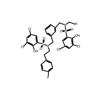 CC(C)CN(Cc1cccc(CN(CCc2ccc(F)cc2)S(=O)(=O)c2cc(Cl)cc(Cl)c2O)c1)S(=O)(=O)c1cc(Cl)cc(Cl)c1O